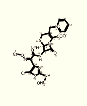 CCO/N=C(\C(=O)NC1C(=O)N2C(C(=O)[O-])=C(C[n+]3ccccc3)CS[C@H]12)c1nc(NC=O)sc1Cl